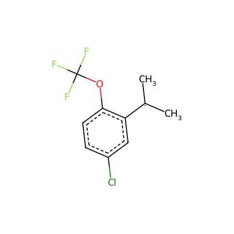 C[C](C)c1cc(Cl)ccc1OC(F)(F)F